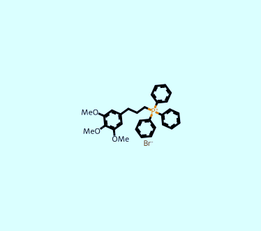 COc1cc(CCC[P+](c2ccccc2)(c2ccccc2)c2ccccc2)cc(OC)c1OC.[Br-]